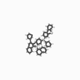 c1ccc(-c2cc3ccccc3c3c2c2ccc(N(c4ccccc4)c4ccc5c(c4)oc4ccccc45)cc2n3-c2cccc3ccccc23)cc1